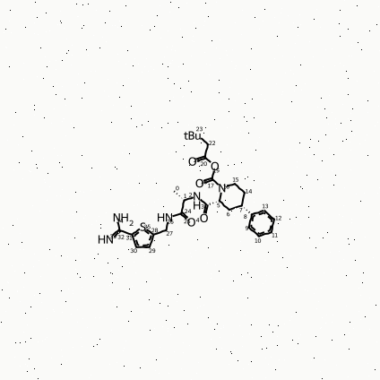 C[C@H](NC(=O)[C@H]1C[C@@H](c2ccccc2)CCN1C(=O)OC(=O)CC(C)(C)C)C(=O)NCc1ccc(C(=N)N)s1